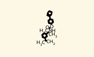 C=C(C)c1cccc(C(C)(C)NC(=O)Oc2ccc(C3CC4C=CC3C4)cc2)c1